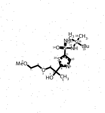 COCCOCC(C)(O)c1ncc(S(=N)(=O)N[Si](C)(C)C(C)(C)C)s1